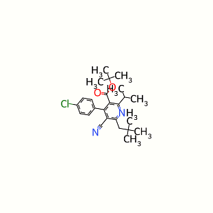 CC(C)c1nc(CC(C)(C)C)c(C#N)c(-c2ccc(Cl)cc2)c1C(=O)OC(C)(C)C